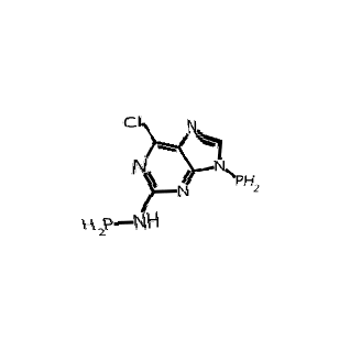 PNc1nc(Cl)c2ncn(P)c2n1